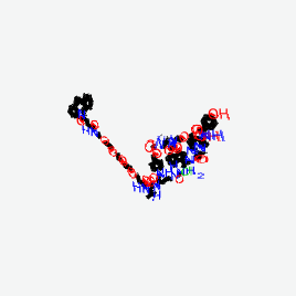 Cc1cccc2c(OC(=O)N(CCOCCO)CCN(C)C(=O)OCc3ccc(NC(=O)C(CCCNC(N)=O)NC(=O)[C@@H](NC(=O)CCOCCOCCOCCOCCNC(=O)CCC(=O)N4Cc5ccccc5C#Cc5ccccc54)C(C)C)cc3)cc3c(c12)C(CCl)CN3C(=O)c1cn2cc(NC(=O)c3ccc(O)cc3)ccc2n1